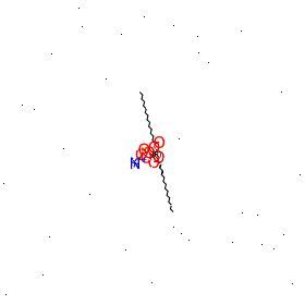 CCCCCCCCCCCC=CC=CC(=O)O[C@H](COC(=O)CCCCCCCCCCCCCCC)COP(=O)([O-])OCC[N+](C)(C)C